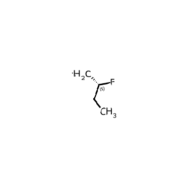 [CH2][C@H](F)CC